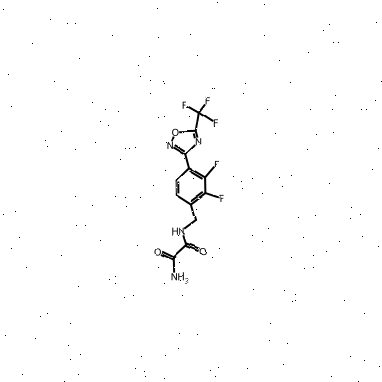 NC(=O)C(=O)NCc1ccc(-c2noc(C(F)(F)F)n2)c(F)c1F